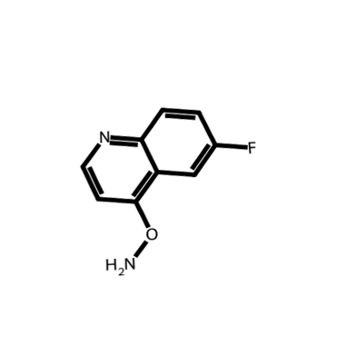 NOc1ccnc2ccc(F)cc12